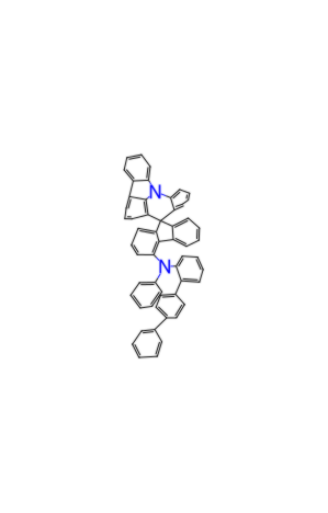 c1ccc(-c2ccc(-c3ccccc3N(c3ccccc3)c3cccc4c3-c3ccccc3C43c4ccccc4-n4c5ccccc5c5cccc3c54)cc2)cc1